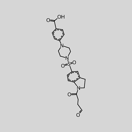 O=CCCC(=O)N1CCc2cc(S(=O)(=O)N3CCN(c4ccc(C(=O)O)cc4)CC3)ccc21